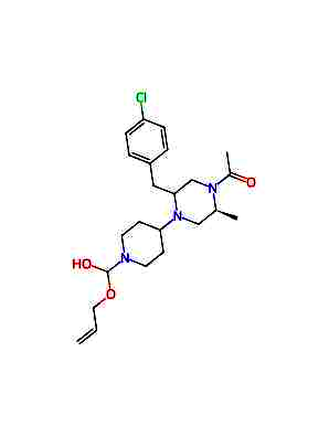 C=CCOC(O)N1CCC(N2C[C@H](C)N(C(C)=O)CC2Cc2ccc(Cl)cc2)CC1